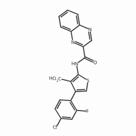 O=C(Nc1scc(-c2ccc(Cl)cc2F)c1C(=O)O)c1cnc2ccccc2n1